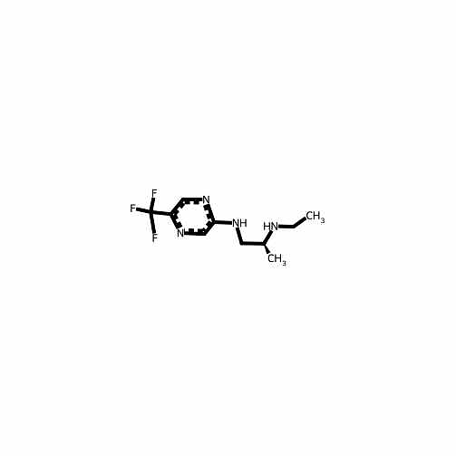 CCN[C@@H](C)CNc1cnc(C(F)(F)F)cn1